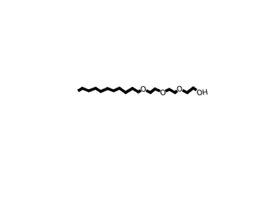 CCCCCCCCCCCOCCOCCOCCO